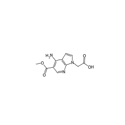 COC(=O)c1cnc2c(ccn2CC(=O)O)c1N